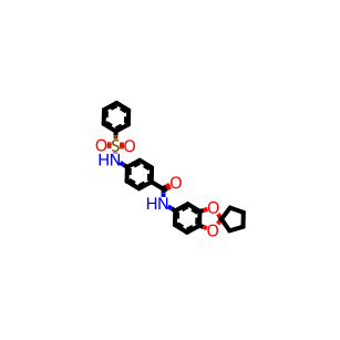 O=C(Nc1ccc2c(c1)OC1(CCCC1)O2)c1ccc(NS(=O)(=O)c2ccccc2)cc1